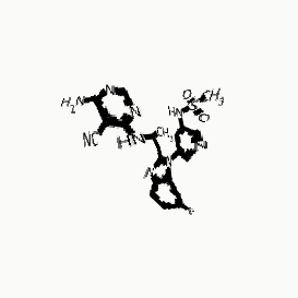 CC(Nc1ncnc(N)c1C#N)c1nc2ccc(F)cc2n1-c1cncc(NS(C)(=O)=O)c1